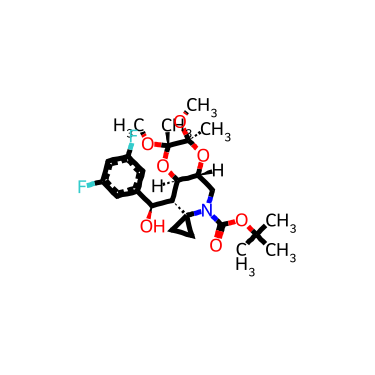 CO[C@@]1(C)O[C@@H]2[C@@H]([C@@H](O)c3cc(F)cc(F)c3)C3(CC3)N(C(=O)OC(C)(C)C)C[C@H]2O[C@]1(C)OC